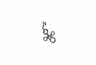 N#CCc1ccc(N2C(=O)C3CCCCC3C2=O)cc1